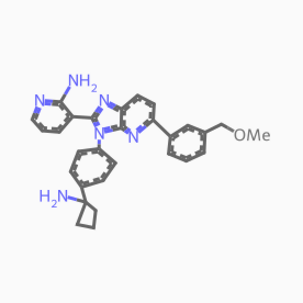 COCc1cccc(-c2ccc3nc(-c4cccnc4N)n(-c4ccc(C5(N)CCC5)cc4)c3n2)c1